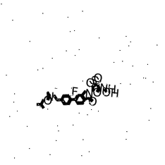 CC(C)CON(C)CCc1ccc(-c2ccc3c(c2F)CN(CC[C@](C)(C(=O)NO)S(C)(=O)=O)C3=O)cc1